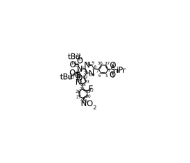 CC(C)S(=O)(=O)c1ccc(-c2cnc(N(C(=O)OC(C)(C)C)C(=O)OC(C)(C)C)c(-c3cc(-c4ccc([N+](=O)[O-])cc4F)no3)n2)cc1